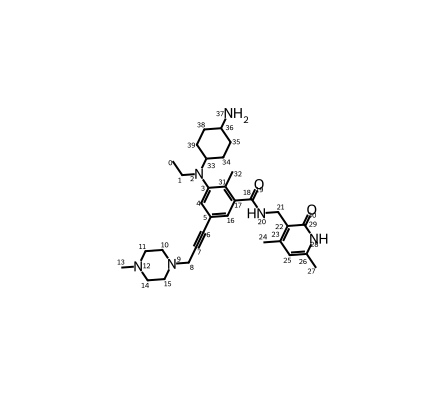 CCN(c1cc(C#CCN2CCN(C)CC2)cc(C(=O)NCc2c(C)cc(C)[nH]c2=O)c1C)C1CCC(N)CC1